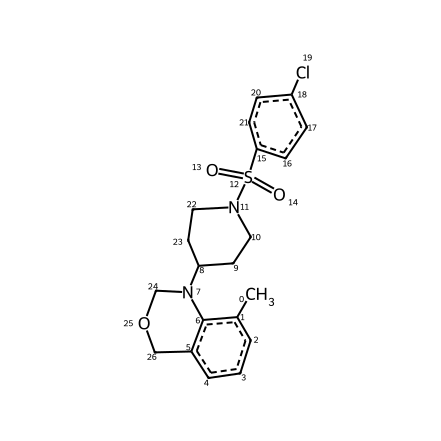 Cc1cccc2c1N(C1CCN(S(=O)(=O)c3ccc(Cl)cc3)CC1)COC2